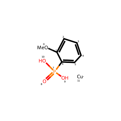 COc1ccccc1P(=O)(O)O.[Cu]